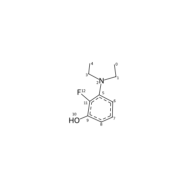 CCN(CC)c1cccc(O)c1F